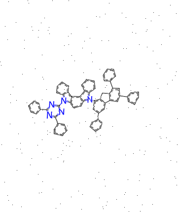 c1ccc(-c2cc(-c3ccccc3)c3c(c2)-c2cc(-c4ccccc4)cc(-n4c5ccccc5c5c6c7ccccc7n(-c7nc(-c8ccccc8)nc(-c8ccccc8)n7)c6ccc54)c2C3)cc1